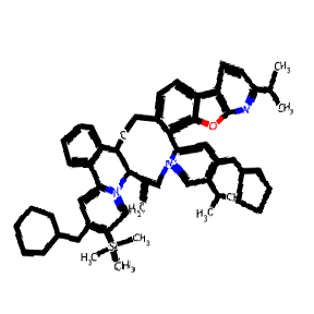 C=C1C[n+]2cc(C(C)C)c(CC3CCCC3)cc2-c2c(ccc3c2oc2nc(C(C)C)ccc23)CCC2c3ccccc3-c3cc(CC4CCCCC4)c([Si](C)(C)C)c[n+]3C12